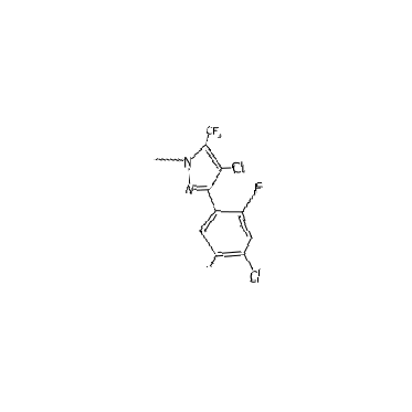 [CH2]c1cc(-c2nn(C)c(C(F)(F)F)c2Cl)c(F)cc1Cl